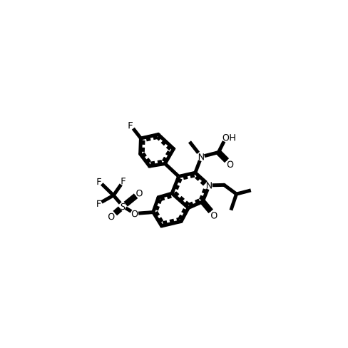 CC(C)Cn1c(N(C)C(=O)O)c(-c2ccc(F)cc2)c2cc(OS(=O)(=O)C(F)(F)F)ccc2c1=O